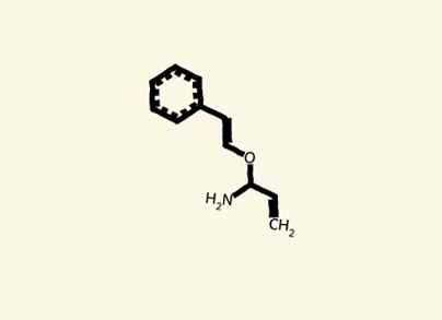 C=CC(N)OC=Cc1ccccc1